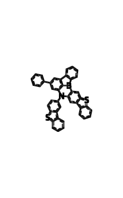 c1ccc(-c2cc3c4c(c2)N(c2ccc5sc6ccccc6c5c2)c2cc5c(cc2B4c2ccccc2-3)sc2ccccc25)cc1